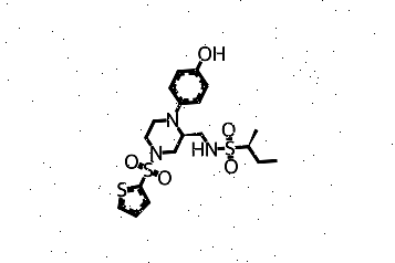 CC[C@H](C)S(=O)(=O)NC[C@H]1CN(S(=O)(=O)c2cccs2)CCN1c1ccc(O)cc1